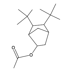 CC(=O)OC1CC2CC1C(C(C)(C)C)C2C(C)(C)C